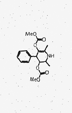 COC(=O)OC1=C(C)NC(C)C(OC(=O)OC)C1c1ccccc1